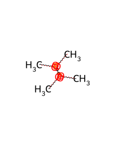 CCCCCCCCCCCCOP(=O)(OCCCCCCCCCCCC)c1ccc(-c2ccc(P(=O)(OCCCCCCCCCCCC)OCCCCCCCCCCCC)cc2)cc1